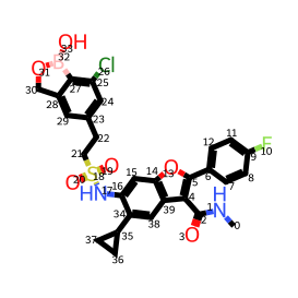 CNC(=O)c1c(-c2ccc(F)cc2)oc2cc(NS(=O)(=O)CCc3cc(Cl)c4c(c3)COB4O)c(C3CC3)cc12